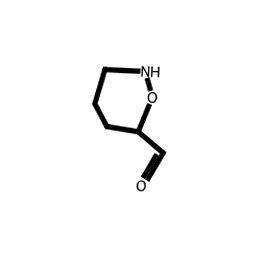 O=CC1CCCNO1